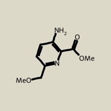 COCc1ccc(N)c(C(=O)OC)n1